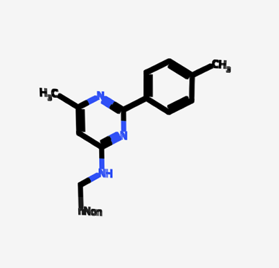 CCCCCCCCCCNc1cc(C)nc(-c2ccc(C)cc2)n1